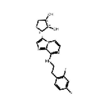 O[C@@H]1[C@H](O)CS[C@H]1c1cnc2c(NCCc3ccc(F)cc3F)nccn12